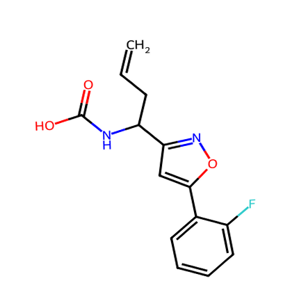 C=CCC(NC(=O)O)c1cc(-c2ccccc2F)on1